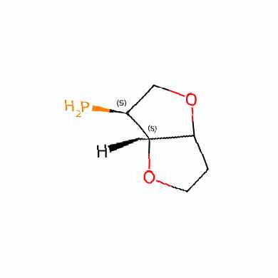 P[C@H]1COC2CCO[C@@H]21